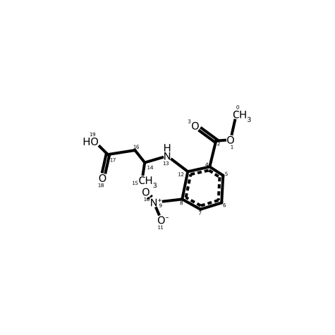 COC(=O)c1cccc([N+](=O)[O-])c1NC(C)CC(=O)O